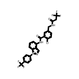 O=C(CC(F)(F)F)NCc1ccc(Cl)c(C(=O)Nc2cccc3c2cnn3-c2ccc(C(F)(F)F)cc2)c1